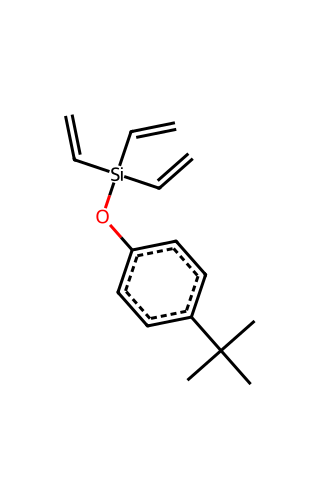 C=C[Si](C=C)(C=C)Oc1ccc(C(C)(C)C)cc1